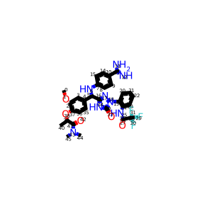 COc1cc(C(Nc2ccc(C(=N)N)cc2)c2nn(-c3ccccc3NC(=O)C(F)(F)F)c(=O)[nH]2)ccc1OC(C)C(=O)N(C)C